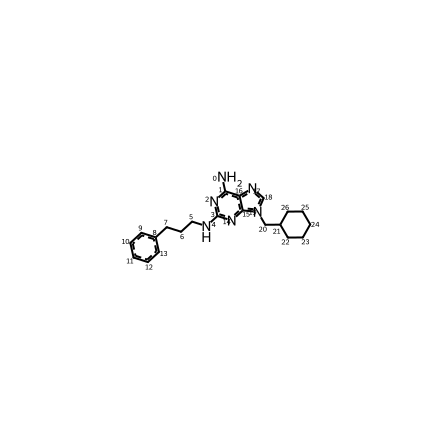 Nc1nc(NCCCc2ccccc2)nc2c1ncn2CC1CCCCC1